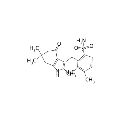 Cc1ccc(S(N)(=O)=O)c(Cc2c(C)[nH]c3c2C(=O)CC(C)(C)C3)c1C